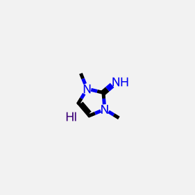 Cn1ccn(C)c1=N.I